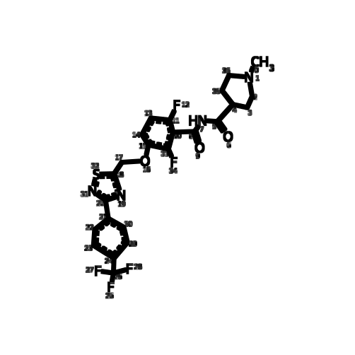 CN1CCC(C(=O)NC(=O)c2c(F)ccc(OCc3nc(-c4ccc(C(F)(F)F)cc4)ns3)c2F)CC1